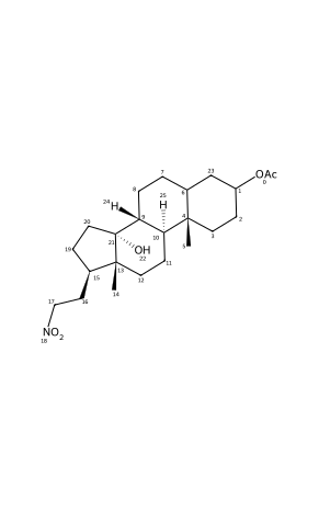 CC(=O)OC1CC[C@@]2(C)C(CC[C@@H]3[C@@H]2CC[C@]2(C)[C@@H](CC[N+](=O)[O-])CC[C@@]32O)C1